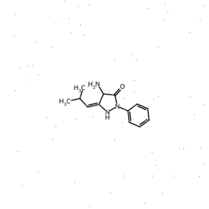 CC(C)C=C1NN(c2ccccc2)C(=O)C1N